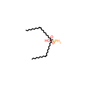 CCCCCCCC/C=C\CCCCCCCC(=O)C(O)(CSP)C(=O)CCCCCCC/C=C\CCCCCCCC